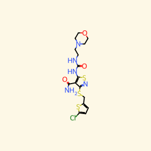 NC(=O)c1c(SCc2ccc(Cl)s2)nsc1NC(=O)NCCN1CCOCC1